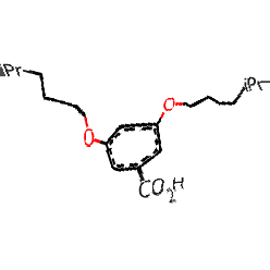 CC(C)CCCOc1cc(OCCCC(C)C)cc(C(=O)O)c1